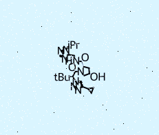 CC(C)n1ncnc1CNC(=O)[C@@H]1C[C@@H](O)CN1C(=O)[C@@H](n1cc(C2CC2)nn1)C(C)(C)C